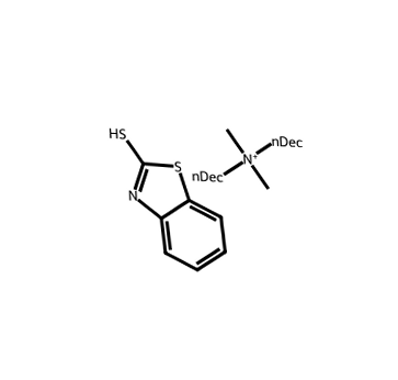 CCCCCCCCCC[N+](C)(C)CCCCCCCCCC.Sc1nc2ccccc2s1